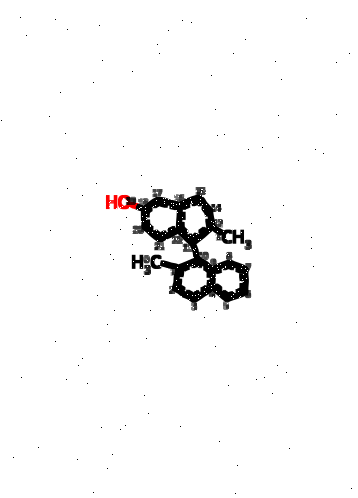 Cc1ccc2ccccc2c1-c1c(C)ccc2cc(O)ccc12